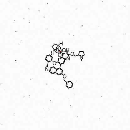 CN1CCCC1COc1nc(N2C[C@H]3CC[C@@H](C2)N3C(=O)O)c2cc(Oc3ccccc3C#N)c(-c3cc(OCc4ccccc4)cc4ccccc34)cc2n1